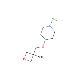 CN1CCC(OCC2(C)COC2)CC1